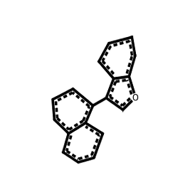 [c]1oc2ccccc2c1-c1cccc2ccccc12